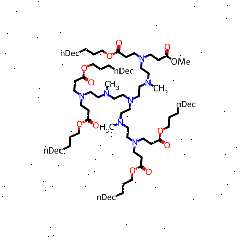 CCCCCCCCCCCCCOC(=O)CCN(CCC(=O)OC)CCN(C)CCN(CCN(C)CCN(CCC(=O)OCCCCCCCCCCCCC)CCC(=O)OCCCCCCCCCCCCC)CCN(C)CCN(CCC(=O)OCCCCCCCCCCCCC)CCC(=O)OCCCCCCCCCCCCC